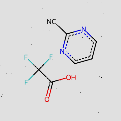 N#Cc1ncccn1.O=C(O)C(F)(F)F